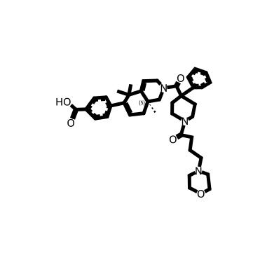 CC1(C)C(c2ccc(C(=O)O)cc2)=CC[C@]2(C)CN(C(=O)C3(c4ccccc4)CCN(C(=O)CCCN4CCOCC4)CC3)CC=C12